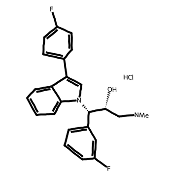 CNC[C@@H](O)[C@H](c1cccc(F)c1)n1cc(-c2ccc(F)cc2)c2ccccc21.Cl